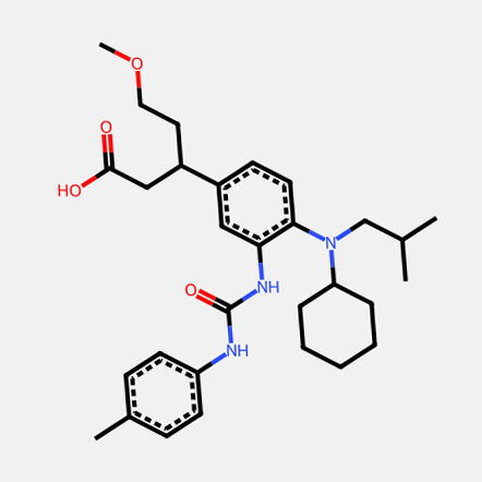 COCCC(CC(=O)O)c1ccc(N(CC(C)C)C2CCCCC2)c(NC(=O)Nc2ccc(C)cc2)c1